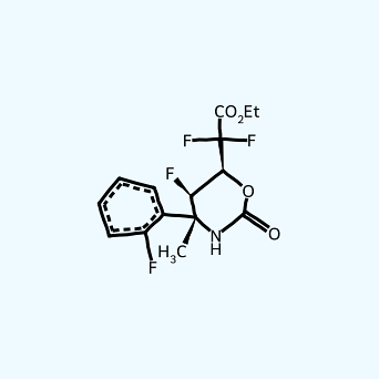 CCOC(=O)C(F)(F)[C@H]1OC(=O)N[C@](C)(c2ccccc2F)[C@H]1F